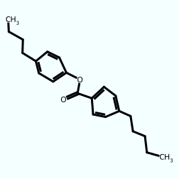 CCCCCc1ccc(C(=O)Oc2ccc(CCCC)cc2)cc1